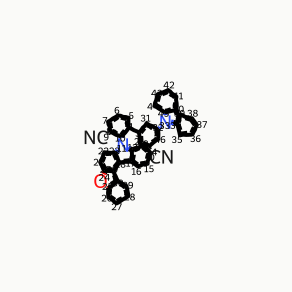 N#Cc1cc(-c2cccc(C#N)c2-n2c3ccccc3c3c4c(ccc32)oc2ccccc24)cc(-n2c3ccccc3c3ccccc32)c1